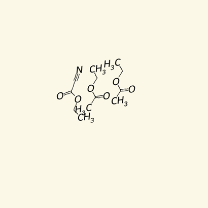 CCOC(=O)C#N.CCOC(C)=O.CCOC(C)=O